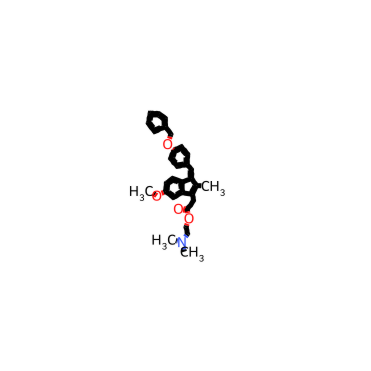 COc1ccc2c(c1)C(CC(=O)OCCN(C)C)=C(C)/C2=C/c1ccc(OCc2ccccc2)cc1